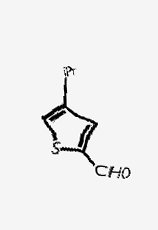 CC(C)c1csc(C=O)c1